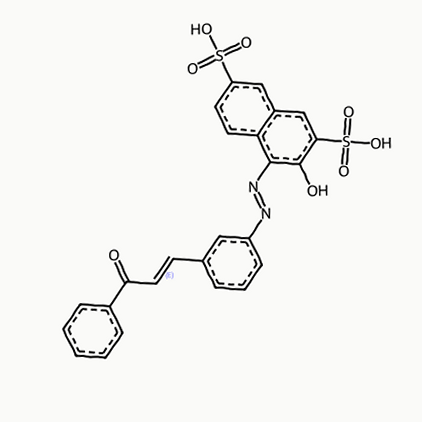 O=C(/C=C/c1cccc(N=Nc2c(O)c(S(=O)(=O)O)cc3cc(S(=O)(=O)O)ccc23)c1)c1ccccc1